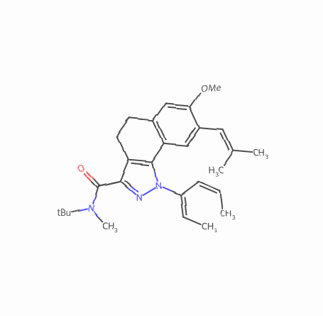 C/C=C\C(=C/C)n1nc(C(=O)N(C)C(C)(C)C)c2c1-c1cc(C=C(C)C)c(OC)cc1CC2